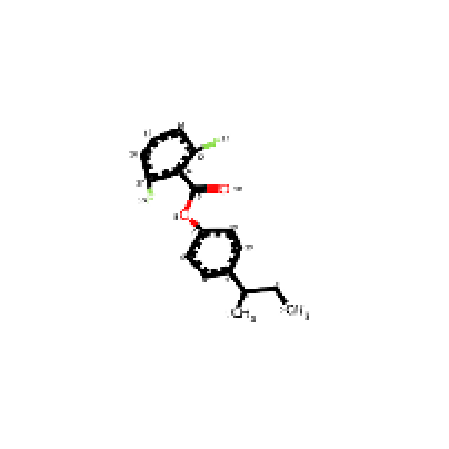 CCC(C)c1ccc(OC(=O)c2c(F)cccc2F)cc1